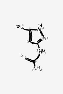 CC(C)(C)c1cc(NC(N)=S)n[nH]1